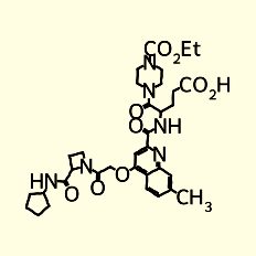 CCOC(=O)N1CCN(C(=O)C(CCC(=O)O)NC(=O)c2cc(OCC(=O)N3CCC3C(=O)NC3CCCC3)c3ccc(C)cc3n2)CC1